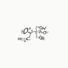 CC(C)(C(O)C(=O)O)P(=O)(O)O